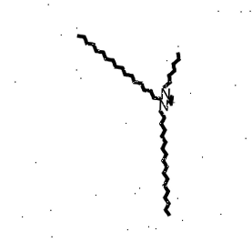 CCCCCCCCCCCCCCCCCC[n+]1ccn(CCCCCCC)c1CCCCCCCCCCCCCCCCC